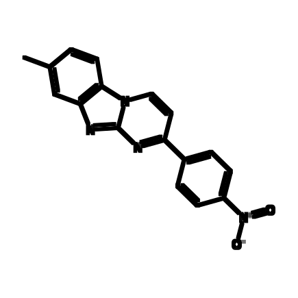 Cc1ccc2c(c1)nc1nc(-c3ccc([N+](=O)[O-])cc3)ccn12